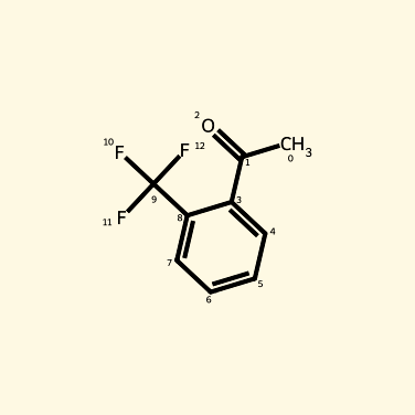 CC(=O)c1cc[c]cc1C(F)(F)F